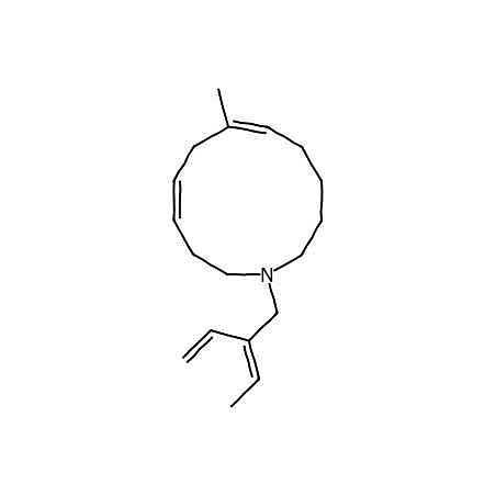 C=C/C(=C\C)CN1CC/C=C\C/C(C)=C\CCCC1